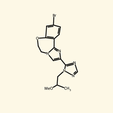 COC(C)Cn1ncnc1-c1cn2c(n1)-c1ccc(Br)cc1OCC2